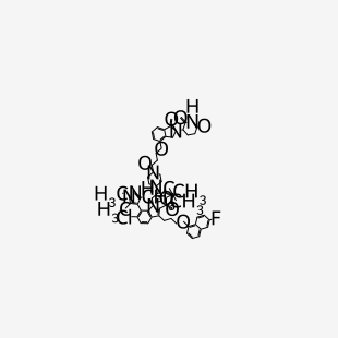 Cc1nn(C)c(C)c1-c1c(Cl)ccc2c(CCCOc3cccc4cc(F)ccc34)c(C(=O)OC(C)(C)C)n(CCN3CCN(C(=O)CCOc4cccc5c4CN(C4CCC(=O)NC4=O)C5=O)CC3)c12